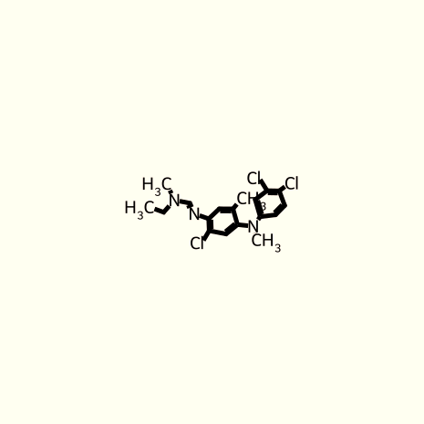 CCN(C)C=Nc1cc(C)c(N(C)c2ccc(Cl)c(Cl)c2)cc1Cl